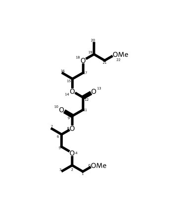 COCC(C)OCC(C)OC(=O)CC(=O)OC(C)COC(C)COC